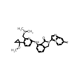 COC1(c2ccc(Nc3cccc4c3C(=O)N(c3cnc5cc(F)ccn35)C4)nc2CN(C)C)CC1